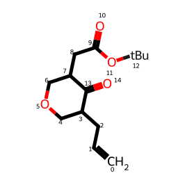 C=CCC1COCC(CC(=O)OC(C)(C)C)C1=O